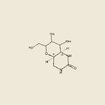 O=C1NC[C@H]2OC(CO)C(O)C(O)[C@H]2N1